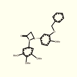 COc1ccc([C@H]2CC(=O)N2c2cc(OC)c(OC)c(OC)c2)cc1OCc1ccccc1